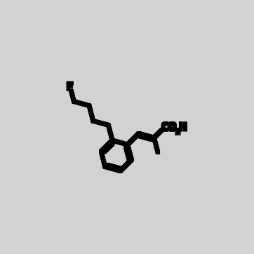 CC(=Cc1ccccc1CCCCF)C(=O)O